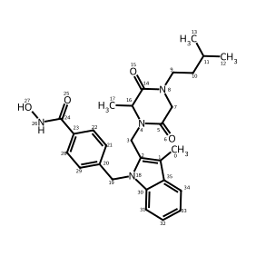 Cc1c(CN2C(=O)CN(CCC(C)C)C(=O)C2C)n(Cc2ccc(C(=O)NO)cc2)c2ccccc12